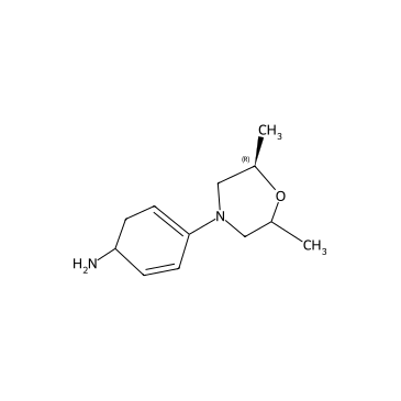 CC1CN(C2=CCC(N)C=C2)C[C@@H](C)O1